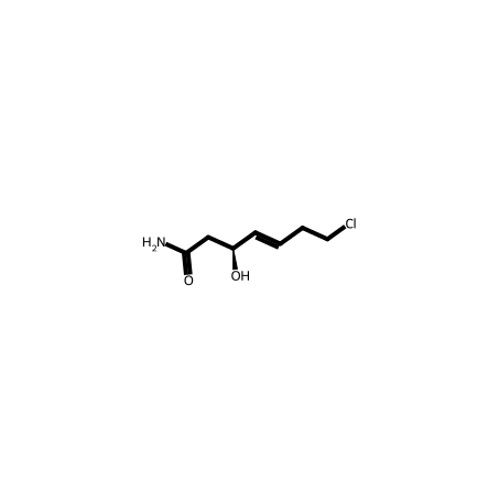 NC(=O)C[C@H](O)/C=C/CCCl